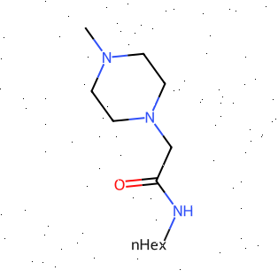 CCCCCCNC(=O)CN1CCN(C)CC1